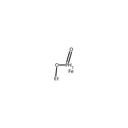 CCO[PH2]=O.[Fe]